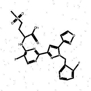 CS(=O)(=O)CCC(Nc1nc(-c2cc(-c3ccon3)n(Cc3ccccc3F)n2)ncc1F)C(=O)O